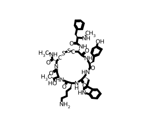 CNC(=O)[C@@H]1CSSC[C@H](NC(=O)[C@@H](Cc2ccccc2)NC)C(=O)N[C@@H](Cc2ccc(O)cc2)C(=O)N[C@H](Cc2c[nH]c3ccccc23)C(=O)N[C@@H](CCCCN)C(=O)N[C@@H]([C@@H](C)O)C(=O)N1